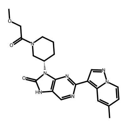 COCC(=O)N1CCC[C@H](n2c(=O)[nH]c3cnc(-c4cnn5ccc(C)cc45)nc32)C1